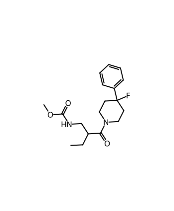 CCC(CNC(=O)OC)C(=O)N1CCC(F)(c2ccccc2)CC1